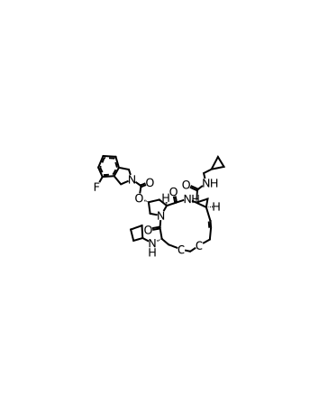 O=C1N[C@]2(C(=O)NCC3CC3)C[C@H]2/C=C\CCCCC[C@H](NC2CCC2)C(=O)N2C[C@H](OC(=O)N3Cc4cccc(F)c4C3)C[C@@H]12